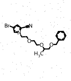 CC(COCc1ccccc1)OCCOCCn1cc(Br)cc1C#N